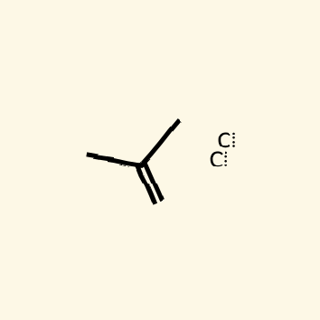 C=C(C)C.[C].[C]